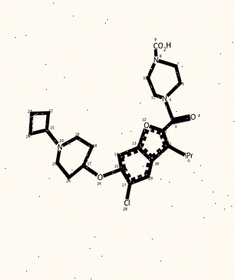 CC(C)c1c(C(=O)N2CCN(C(=O)O)CC2)oc2cc(OC3CCN(C4CCC4)CC3)c(Cl)cc12